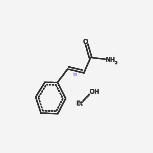 CCO.NC(=O)/C=C/c1ccccc1